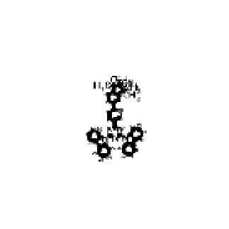 CC1(C)c2ccc(-c3ccc(-c4nc(-n5c6ccccc6c6ccccc65)nc(-n5c6ccccc6c6ccccc65)n4)cn3)cc2C(C)(C)C1(C)C